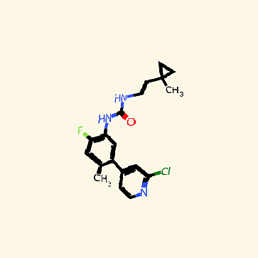 Cc1cc(F)c(NC(=O)NCCC2(C)CC2)cc1-c1ccnc(Cl)c1